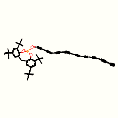 C#CC#CC#CC#CC#CC#CC#CC#CC#COP1Oc2c(cc(C(C)(C)C)cc2C(C)(C)C)Cc2cc(C(C)(C)C)cc(C(C)(C)C)c2O1